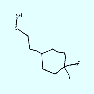 FC1(F)CCC(CCSS)CC1